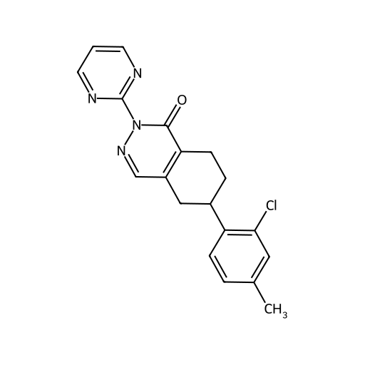 Cc1ccc(C2CCc3c(cnn(-c4ncccn4)c3=O)C2)c(Cl)c1